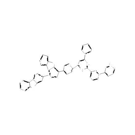 c1ccc(-c2cc(-c3ccc(-c4ccc(-c5ccc6c(c5)sc5ccccc56)c5c4oc4ccccc45)cc3)nc(-c3cccc(-c4cccnc4)c3)n2)cc1